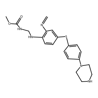 C=Nc1cc(Sc2ccc(N3CCNCC3)cc2)ccc1NCNC(=O)OC